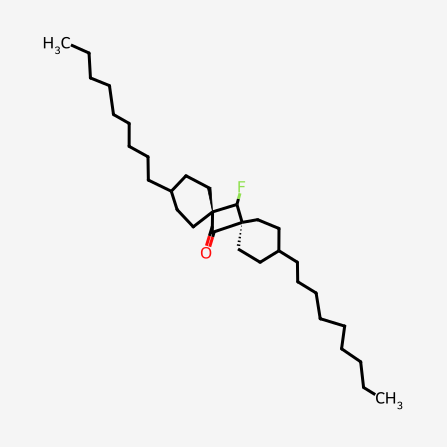 CCCCCCCCCC1CC[C@]2(CC1)C(=O)[C@@]1(CCC(CCCCCCCCC)CC1)C2F